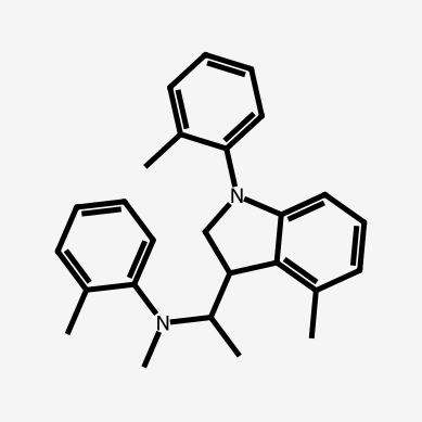 Cc1ccccc1N1CC(C(C)N(C)c2ccccc2C)c2c(C)cccc21